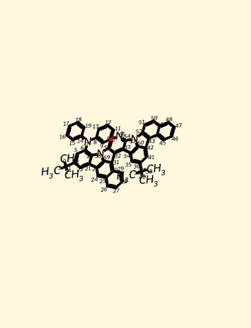 CC(C)(C)c1cc(N(c2ccccc2)c2ccccc2)c2c(c1)c1cc3ccccc3c3c4c5c6cc(C(C)(C)C)cc7c8c9ccccc9ccc8n(c5ncc4n2c13)c76